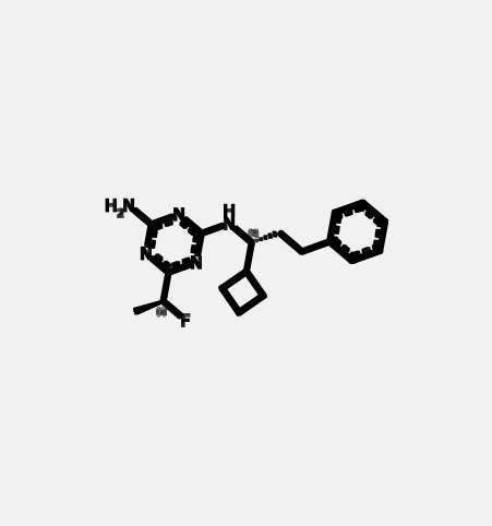 C[C@H](F)c1nc(N)nc(N[C@H](CCc2ccccc2)C2CCC2)n1